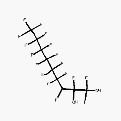 OC(F)(F)C(O)(F)C(F)C(F)(F)C(F)(F)C(F)(F)C(F)(F)C(F)(F)C(F)(F)F